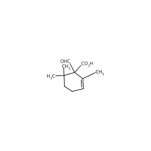 CC1=CCCC(C)(C)C1(C=O)C(=O)O